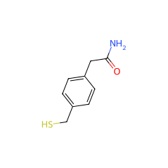 NC(=O)Cc1ccc(CS)cc1